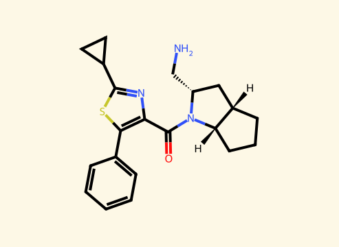 NC[C@@H]1C[C@@H]2CCC[C@@H]2N1C(=O)c1nc(C2CC2)sc1-c1ccccc1